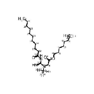 Cl.[2H]C([2H])([2H])N(CC(=O)OCCCCCCC)C(=N)NC(=O)CCCCCCCCCC